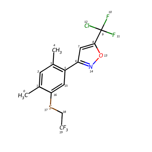 Cc1cc(C)c(-c2cc(C(F)(F)Cl)on2)cc1SCC(F)(F)F